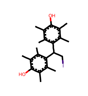 Cc1c(C)c(C(CI)c2c(C)c(C)c(O)c(C)c2C)c(C)c(C)c1O